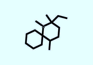 CCC1(C)CCC(C)C2(CCCCC2)N1C